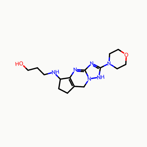 OCCCNC1CCC2=C1N=C1N=C(N3CCOCC3)NN1C2